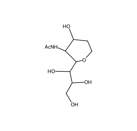 CC(=O)NC1C(O)CCOC1C(O)C(O)CO